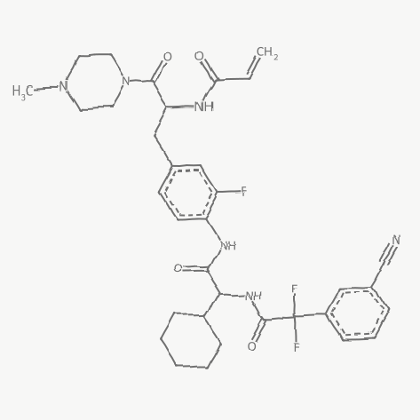 C=CC(=O)NC(Cc1ccc(NC(=O)C(NC(=O)C(F)(F)c2cccc(C#N)c2)C2CCCCC2)c(F)c1)C(=O)N1CCN(C)CC1